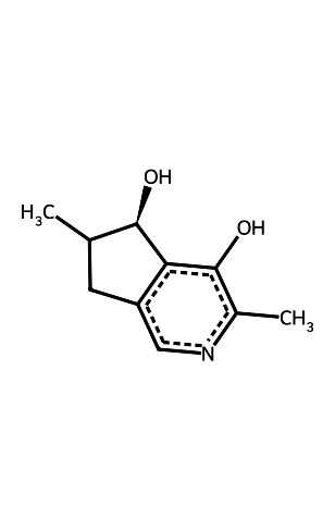 Cc1ncc2c(c1O)[C@H](O)C(C)C2